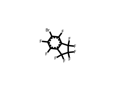 Fc1c(F)c2c(c(F)c1Br)C(F)(F)C(F)(F)C2(F)F